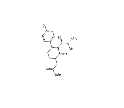 CC[C@@H]([C@H](C)O)N1C(=O)C(CC(=O)OC)CCC1c1ccc(Cl)cc1